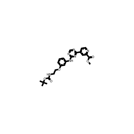 COC(=O)c1cc(-c2ncnc(Nc3cccc(OCCNC(=O)OC(C)(C)C)c3)n2)ccn1